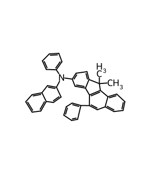 CC1(C)c2ccc(N(c3ccccc3)c3ccc4ccccc4c3)cc2-c2c(-c3ccccc3)cc3ccccc3c21